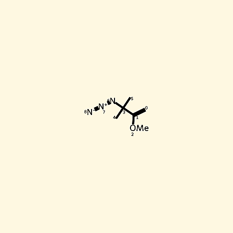 C=C(OC)C(C)(C)N=[N+]=[N-]